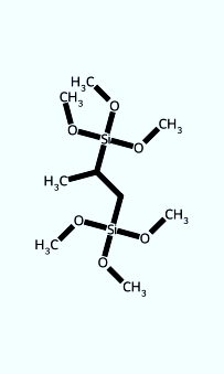 CO[Si](CC(C)[Si](OC)(OC)OC)(OC)OC